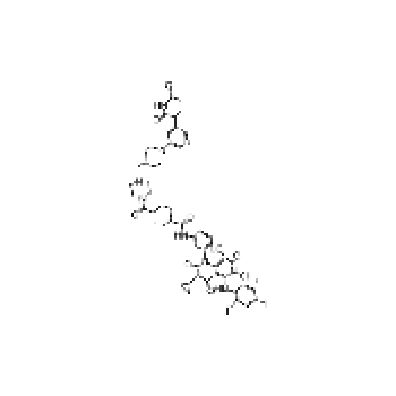 Cc1c(=O)n(C)c(Nc2ccc(I)cc2F)c2c(=O)n(C3CC3)c(=O)n(-c3cccc(NC(=O)C4CCC(C(=O)N5CCN(CC6CCN(c7cncc(C8CCC(=O)NC8=O)c7)CC6)CC5)CC4)c3)c12